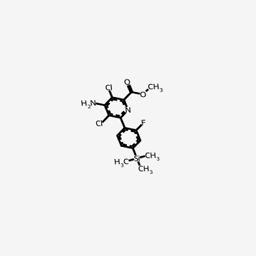 COC(=O)c1nc(-c2ccc([Si](C)(C)C)cc2F)c(Cl)c(N)c1Cl